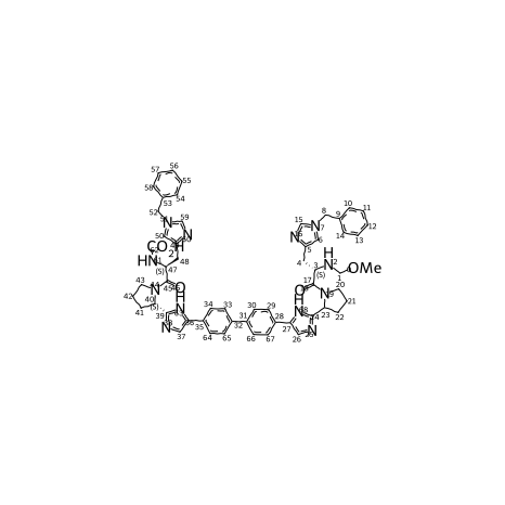 COCN[C@@H](Cc1cn(Cc2ccccc2)cn1)C(=O)N1CCCC1c1ncc(-c2ccc(-c3ccc(-c4cnc([C@@H]5CCCN5C(=O)[C@H](Cc5cn(Cc6ccccc6)cn5)NC(=O)O)[nH]4)cc3)cc2)[nH]1